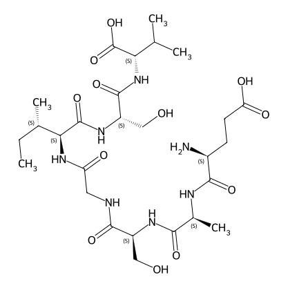 CC[C@H](C)[C@H](NC(=O)CNC(=O)[C@H](CO)NC(=O)[C@H](C)NC(=O)[C@@H](N)CCC(=O)O)C(=O)N[C@@H](CO)C(=O)N[C@H](C(=O)O)C(C)C